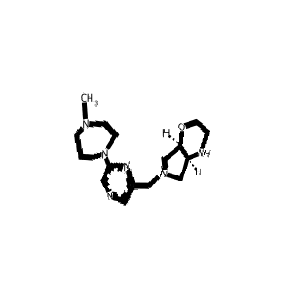 CN1CCN(c2cncc(CN3C[C@@H]4NCCO[C@@H]4C3)n2)CC1